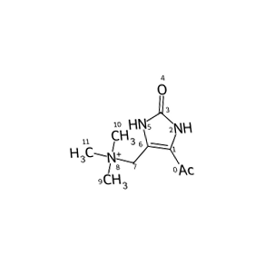 CC(=O)c1[nH]c(=O)[nH]c1C[N+](C)(C)C